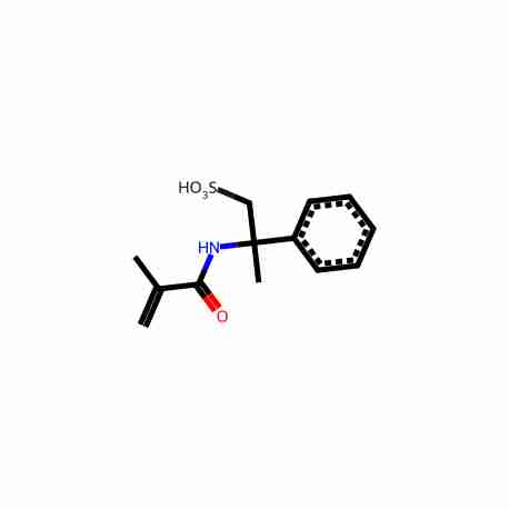 C=C(C)C(=O)NC(C)(CS(=O)(=O)O)c1ccccc1